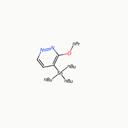 CCC[CH2][Sn]([CH2]CCC)([CH2]CCC)[c]1ccnnc1OCCC